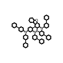 c1ccc(-c2ccc(N(c3ccc(-c4ccccc4)cc3)c3ccc4c(c3)N(c3cccc(-c5ccccc5)c3)B3c5ccc(-c6ccccc6)cc5N(c5cccc(-c6ccccc6)c5)c5cc6oc7ccccc7c6c-4c53)cc2)cc1